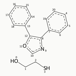 OCCS.c1ccc(-c2ncoc2-c2ccccc2)cc1